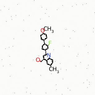 COc1ccc(-c2ccc(-c3cc(C=O)c4cc(C)ccc4n3)cc2F)cc1